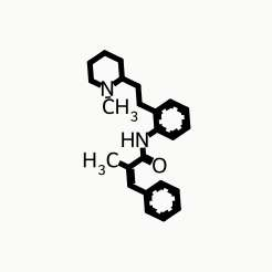 CC(=Cc1ccccc1)C(=O)Nc1ccccc1CCC1CCCCN1C